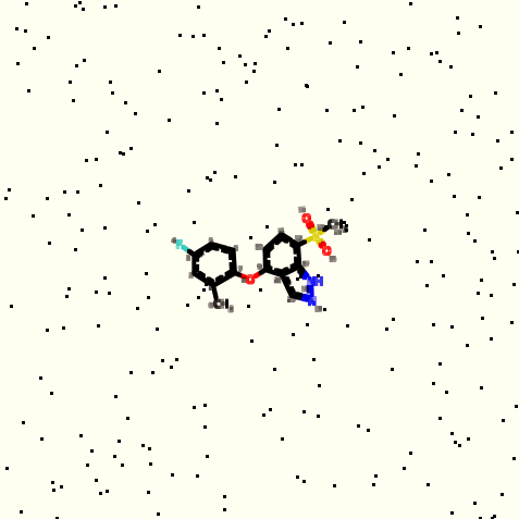 Cc1cc(F)ccc1Oc1ccc(S(C)(=O)=O)c2[nH]ncc12